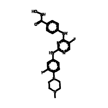 CN1CCN(c2ccc(Nc3ncc(F)c(Nc4ccc(C(=O)NO)cc4)n3)cc2F)CC1